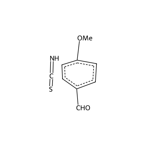 COc1ccc(C=O)cc1.N=C=S